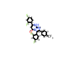 O=c1cc(-c2ccc(F)cc2F)[nH]c2nc(-c3ccc(C(F)(F)F)cc3)c(-c3ccc(F)cc3F)n12